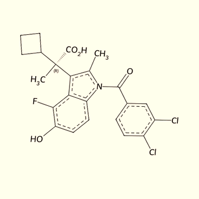 Cc1c([C@](C)(C(=O)O)C2CCC2)c2c(F)c(O)ccc2n1C(=O)c1ccc(Cl)c(Cl)c1